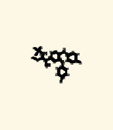 CCC(NC(C)(C)C)C(O)c1ccc(Oc2ccc(C)cc2)c(Oc2ccc(C)cc2)c1